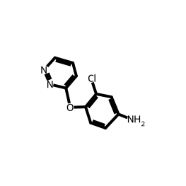 Nc1ccc(Oc2cccnn2)c(Cl)c1